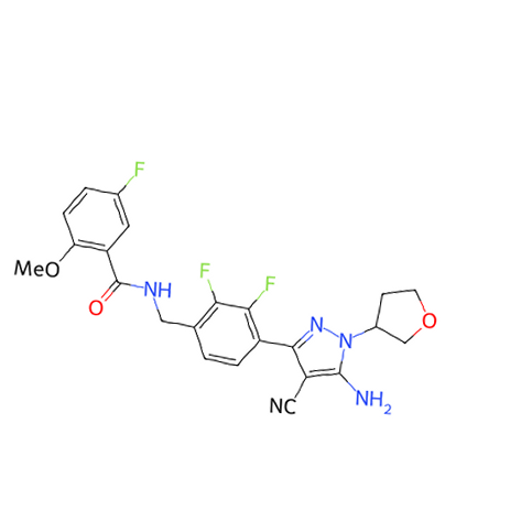 COc1ccc(F)cc1C(=O)NCc1ccc(-c2nn(C3CCOC3)c(N)c2C#N)c(F)c1F